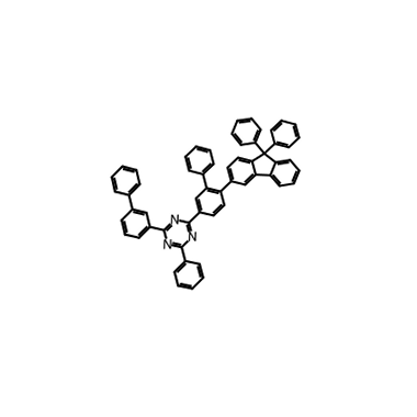 c1ccc(-c2cccc(-c3nc(-c4ccccc4)nc(-c4ccc(-c5ccc6c(c5)-c5ccccc5C6(c5ccccc5)c5ccccc5)c(-c5ccccc5)c4)n3)c2)cc1